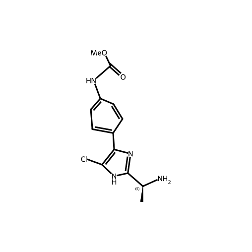 COC(=O)Nc1ccc(-c2nc([C@H](C)N)[nH]c2Cl)cc1